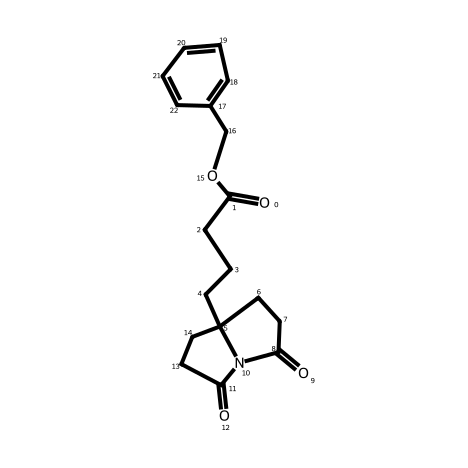 O=C(CCCC12CCC(=O)N1C(=O)CC2)OCc1ccccc1